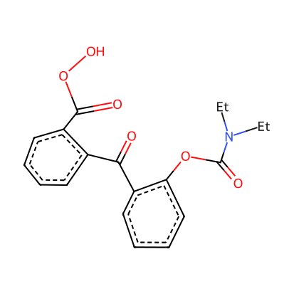 CCN(CC)C(=O)Oc1ccccc1C(=O)c1ccccc1C(=O)OO